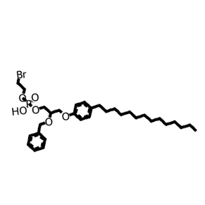 CCCCCCCCCCCCCCc1ccc(OCC(COP(=O)(O)OCCBr)OCc2ccccc2)cc1